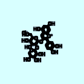 OC[C@H]1O[C@@H](Oc2cc3c(O)cc(O)cc3[o+]c2-c2ccc(O)c(O)c2)[C@H](O[C@@H]2OC[C@@H](O)[C@H](O)[C@H]2O)[C@@H](O)[C@@H]1O.[Cl-]